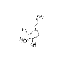 OCCc1ccc(O)c(O)c1O